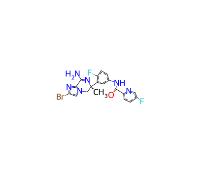 C[C@@]1(c2cc(NC(=O)c3ccc(F)cn3)ccc2F)Cn2cc(Br)nc2C(N)=N1